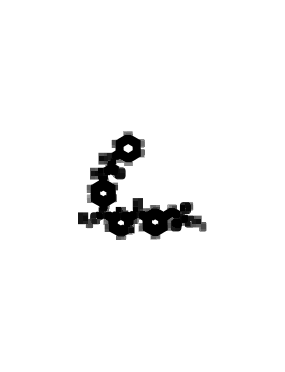 CN(c1ccc(NC(=O)NC2CCCCC2)cc1)c1ccnc(Nc2cccc(CS(C)(=O)=O)c2)n1